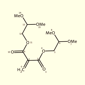 C=C(C(=O)OCC(OC)OC)C(=O)OCC(OC)OC